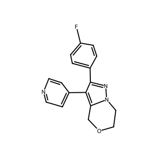 Fc1ccc(-c2nn3c(c2-c2ccncc2)COCC3)cc1